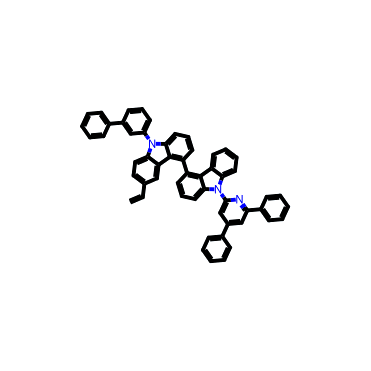 C=Cc1ccc2c(c1)c1c(-c3cccc4c3c3ccccc3n4-c3cc(-c4ccccc4)cc(-c4ccccc4)n3)cccc1n2-c1cccc(-c2ccccc2)c1